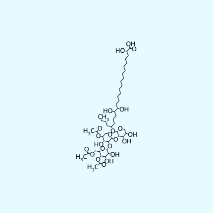 CCCCC(CCCC(O)C(O)CCCCCCCCCCCCCCC(O)C(=O)O)OC1OCC(O)C(O)C1OC1OCC(OC(C)=O)C(O)C1OC1OC(COC(C)=O)C(OC(C)=O)C(O)C1O